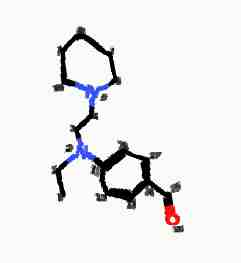 CCN(CCN1CCCCC1)c1ccc(C=O)cc1